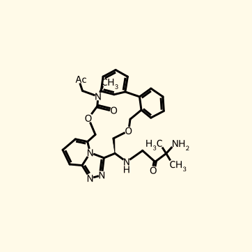 CC(=O)CN(C)C(=O)OCc1cccc2nnc([C@@H](COCc3ccccc3-c3ccccc3)NCC(=O)C(C)(C)N)n12